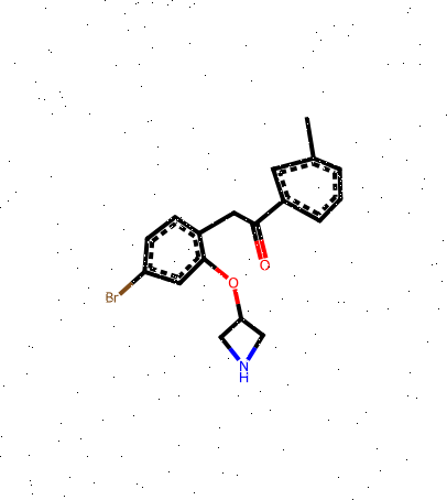 Cc1cccc(C(=O)Cc2ccc(Br)cc2OC2CNC2)c1